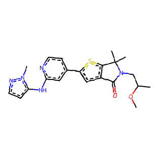 COC(C)CN1C(=O)c2cc(-c3ccnc(Nc4ccnn4C)c3)sc2C1(C)C